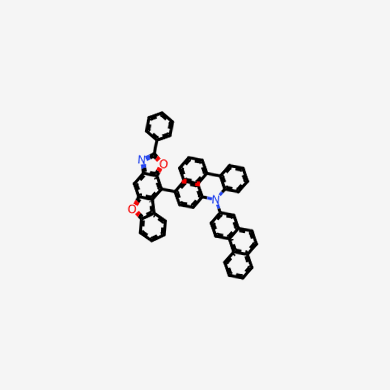 c1ccc(-c2nc3cc4oc5ccccc5c4c(-c4ccc(N(c5ccc6c(ccc7ccccc76)c5)c5ccccc5-c5ccccc5)cc4)c3o2)cc1